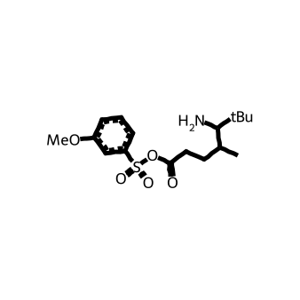 COc1cccc(S(=O)(=O)OC(=O)CCC(C)C(N)C(C)(C)C)c1